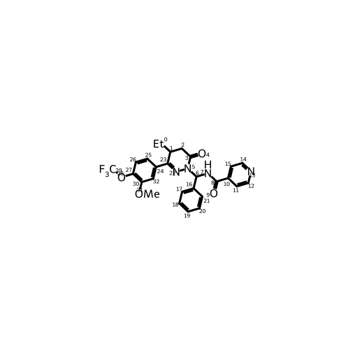 CCC1CC(=O)N(C(NC(=O)c2ccncc2)c2ccccc2)N=C1c1ccc(OC(F)(F)F)c(OC)c1